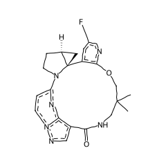 CC1(C)CNC(=O)c2cnn3ccc(nc23)N2CC[C@H]3C[C@]32c2cc(F)cnc2OC1